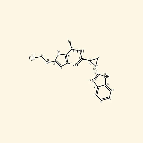 C[C@@H](NC(=O)[C@H]1C[C@@H]1c1nc2ccccc2[nH]1)c1ccc(OCC(F)(F)F)s1